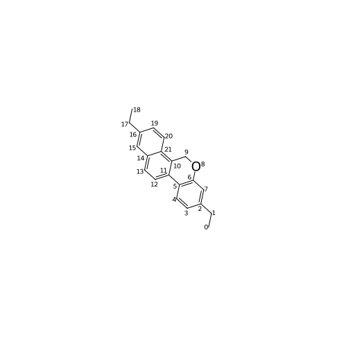 CCc1ccc2c(c1)OCc1c-2ccc2cc(CC)ccc12